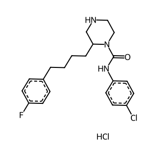 Cl.O=C(Nc1ccc(Cl)cc1)N1CCNCC1CCCCc1ccc(F)cc1